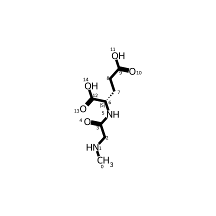 CNCC(=O)N[C@@H](CCC(=O)O)C(=O)O